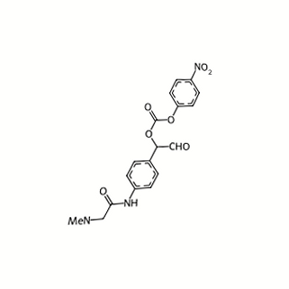 CNCC(=O)Nc1ccc(C(C=O)OC(=O)Oc2ccc([N+](=O)[O-])cc2)cc1